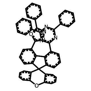 c1ccc(-c2nc(-c3ccccc3)nc(-c3cccc4c3-c3c(-c5nnc(-c6ccccc6)o5)cccc3C43c4ccccc4Oc4ccccc43)n2)cc1